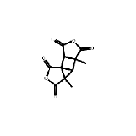 CC12C(=O)OC(=O)C1C13C(=O)OC(=O)C1(C)C23